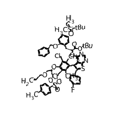 C=CCOCC(COS(=O)(=O)c1ccc(C)cc1)Oc1c(Cl)c(C)c(-c2c(-c3ccc(F)cc3)sc3ncnc(OC(Cc4cc(O[Si](C)(C)C(C)(C)C)ccc4OCc4ccccc4)C(=O)OC(C)(C)C)c23)c(C)c1Cl